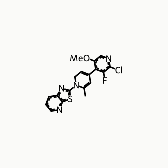 COc1cnc(Cl)c(F)c1C1=CCN(c2nc3cccnc3s2)C(C)=C1